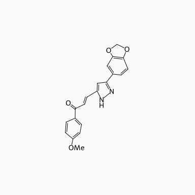 COc1ccc(C(=O)/C=C/c2cc(-c3ccc4c(c3)OCO4)n[nH]2)cc1